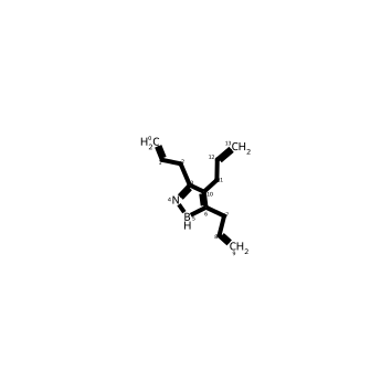 C=CCC1=NBC(CC=C)=C1CC=C